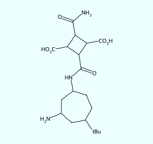 CC(C)(C)C1CCC(NC(=O)C2C(C(=O)O)C(C(N)=O)C2C(=O)O)CC(N)C1